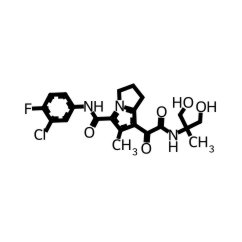 Cc1c(C(=O)C(=O)NC(C)(CO)CO)c2n(c1C(=O)Nc1ccc(F)c(Cl)c1)CCC2